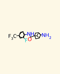 NC12CCC(C(=O)Nc3ccc(C(F)(F)F)cc3F)(CC1)CC2